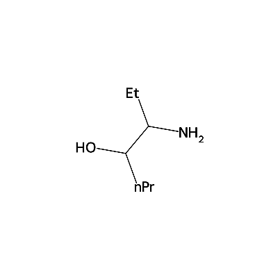 CCCC(O)C(N)CC